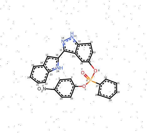 O=[N+]([O-])c1ccc(OP(=O)(Oc2ccc3[nH]nc(-c4cc5ccccc5[nH]4)c3c2)c2ccccc2)cc1